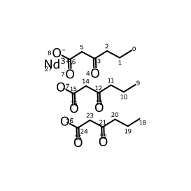 CCCC(=O)CC(=O)[O-].CCCC(=O)CC(=O)[O-].CCCC(=O)CC(=O)[O-].[Nd+3]